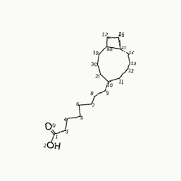 O=C(O)CCCCCCCC1CCCCC2CCC2CCC1